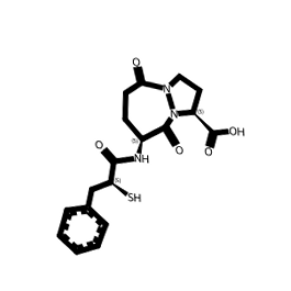 O=C(N[C@H]1CCC(=O)N2CC[C@@H](C(=O)O)N2C1=O)[C@@H](S)Cc1ccccc1